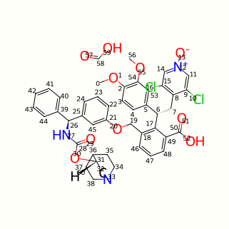 COc1ccc([C@H](Cc2c(Cl)c[n+]([O-])cc2Cl)c2c(COc3cccc([C@@H](NC(=O)O[C@H]4CN5CCC4CC5)c4ccccc4)c3)cccc2C(=O)O)cc1OC.O=CO